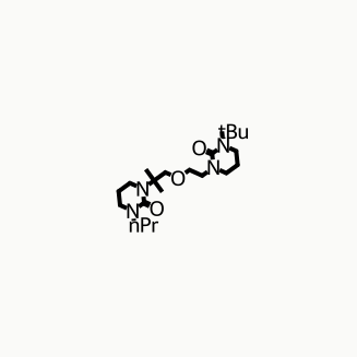 CCCN1CCCN(C(C)(C)COCCN2CCCN(C(C)(C)C)C2=O)C1=O